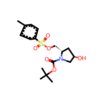 Cc1ccc(S(=O)(=O)OC[C@@H]2C[C@@H](O)CN2C(=O)OC(C)(C)C)cc1